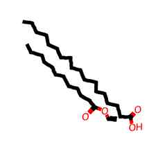 C=COC(=O)CCCCCCCCCCC.CCCCCCCCCCCCCCCCCC(=O)O